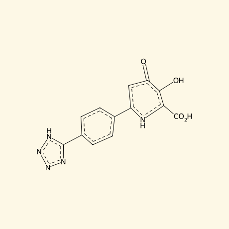 O=C(O)c1[nH]c(-c2ccc(-c3nnn[nH]3)cc2)cc(=O)c1O